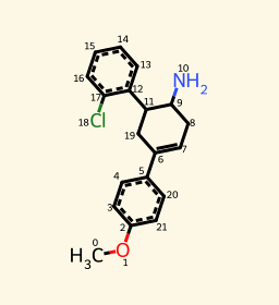 COc1ccc(C2=CCC(N)C(c3ccccc3Cl)C2)cc1